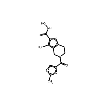 Cc1nc(C(=O)N2CCc3sc(C(=O)NO)c(C)c3C2)cs1